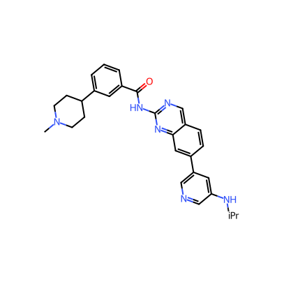 CC(C)Nc1cncc(-c2ccc3cnc(NC(=O)c4cccc(C5CCN(C)CC5)c4)nc3c2)c1